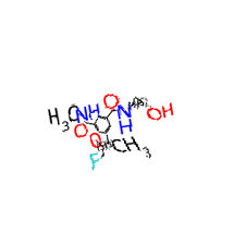 CNC(=O)c1cc(C(=O)N[C@H]2C[C@@H]2CO)cc2c1O[C@H](CF)[C@H]2C